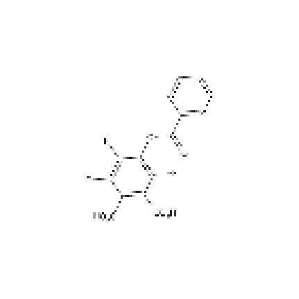 O=C(Oc1c(F)c(F)c(C(=O)O)c(C(=O)O)c1F)c1ccccc1